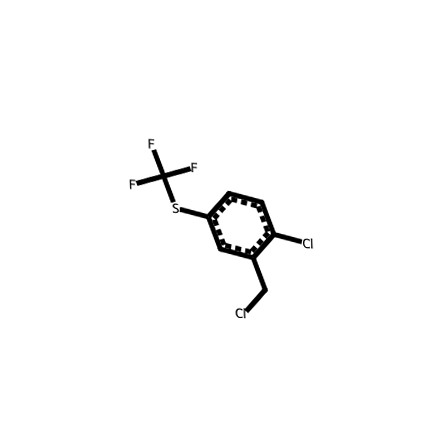 FC(F)(F)Sc1ccc(Cl)c(CCl)c1